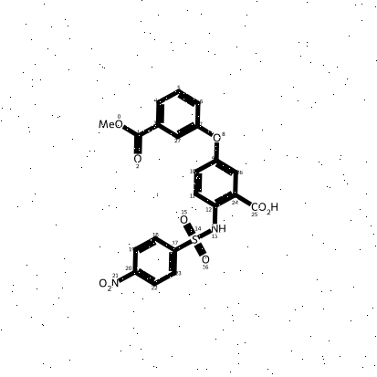 COC(=O)c1cccc(Oc2ccc(NS(=O)(=O)c3ccc([N+](=O)[O-])cc3)c(C(=O)O)c2)c1